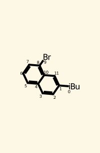 CCC(C)c1ccc2cccc(Br)c2c1